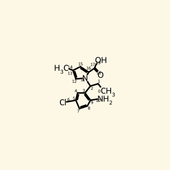 CCC(c1cc(Cl)ccc1N)n1cc(C)cc1C(=O)O